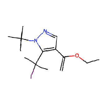 C=C(OCC)c1cnn(C(C)(C)C)c1C(C)(C)I